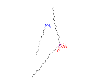 CCCCCCCCCCCCCCCCP(O)(O)(O)CCCCCCCCCCCCCCCC.CCCCCCCCCCCCN